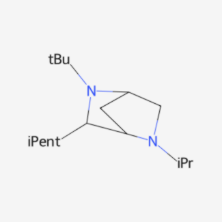 CCCC(C)C1C2CC(CN2C(C)C)N1C(C)(C)C